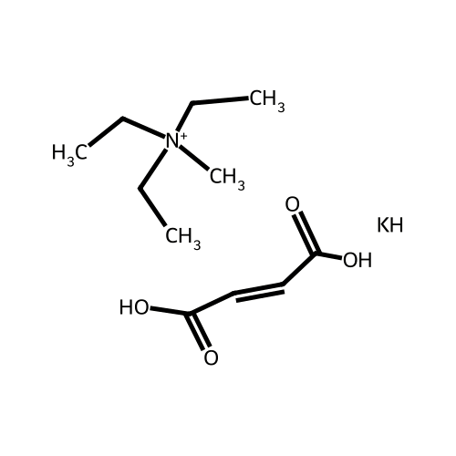 CC[N+](C)(CC)CC.O=C(O)/C=C/C(=O)O.[KH]